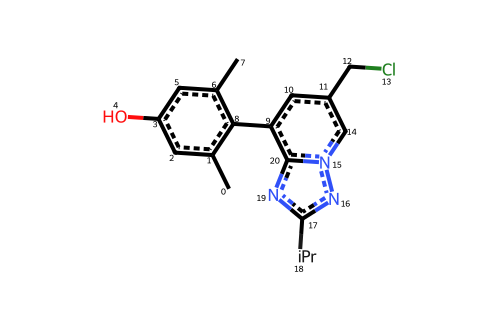 Cc1cc(O)cc(C)c1-c1cc(CCl)cn2nc(C(C)C)nc12